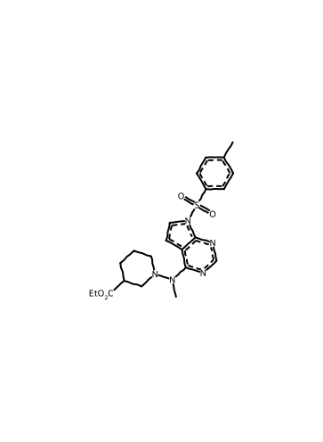 CCOC(=O)C1CCCN(N(C)c2ncnc3c2ccn3S(=O)(=O)c2ccc(C)cc2)C1